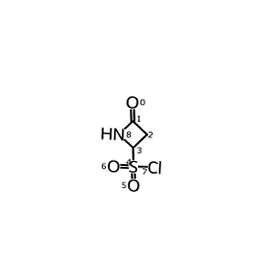 O=C1CC(S(=O)(=O)Cl)N1